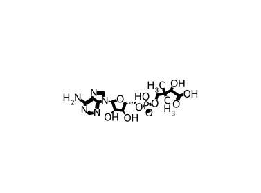 CC(C)(COP(=O)(O)OC[C@H]1O[C@@H](n2cnc3c(N)ncnc32)[C@H](O)[C@@H]1O)C(O)C(=O)O